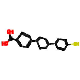 OB(O)c1ccc(-c2ccc(-c3ccc(S)cc3)cc2)cc1